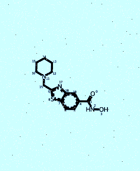 O=C(NO)c1ccc2sc(CN3CCCCC3)nc2c1